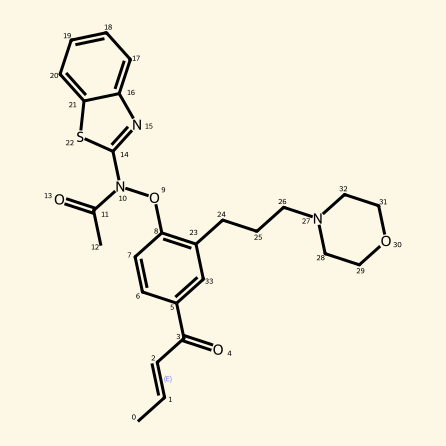 C/C=C/C(=O)c1ccc(ON(C(C)=O)c2nc3ccccc3s2)c(CCCN2CCOCC2)c1